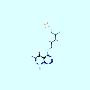 CC(COP(=O)(O)O)C(O)C(O)CNc1ncnc2c1c(=O)c(N)nn2C